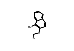 CC(C)(C)COc1ccc2ccccc2c1O